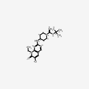 CCn1c(=O)c(Cl)cc2cnc(NC3CCN(C(=O)OC(C)(C)C)CC3)nc21